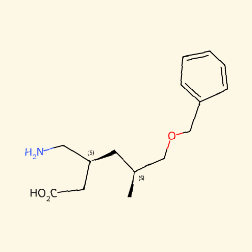 C[C@H](COCc1ccccc1)C[C@H](CN)CC(=O)O